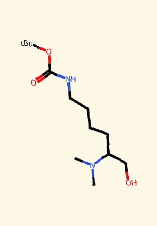 CN(C)C(CO)CCCCNC(=O)OC(C)(C)C